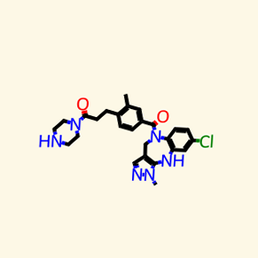 Cc1cc(C(=O)N2Cc3cnn(C)c3Nc3cc(Cl)ccc32)ccc1CCC(=O)N1CCNCC1